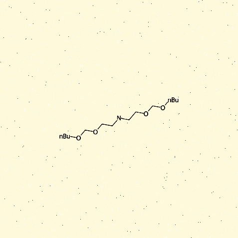 CCCCOCOCC[N]CCOCOCCCC